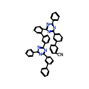 N#Cc1cccc(-c2cccc(-c3nc(-c4ccccc4)nc(-c4ccccc4-c4cccc(-c5nc(-c6ccccc6)nc(-c6cccc(-c7ccccc7)c6)n5)c4)n3)c2)c1